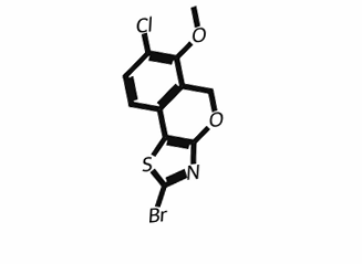 COc1c(Cl)ccc2c1COc1nc(Br)sc1-2